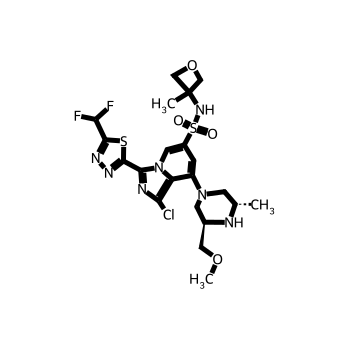 COC[C@H]1CN(c2cc(S(=O)(=O)NC3(C)COC3)cn3c(-c4nnc(C(F)F)s4)nc(Cl)c23)C[C@H](C)N1